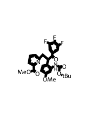 COC(=O)c1cccc(CC(C(=O)c2cc(F)c(F)c(F)c2)c2ccc(OC)cc2NC(=O)OC(C)(C)C)n1